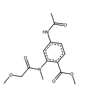 COCC(=O)N(C)c1cc(NC(C)=O)ccc1C(=O)OC